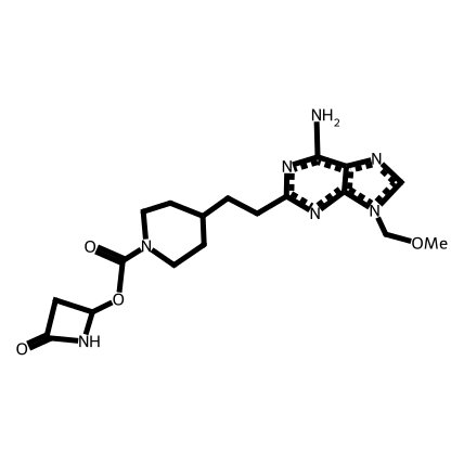 COCn1cnc2c(N)nc(CCC3CCN(C(=O)OC4CC(=O)N4)CC3)nc21